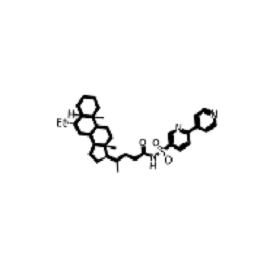 CC[C@H]1CC2C3CC[C@H]([C@H](C)CCC(=O)NS(=O)(=O)c4ccc(-c5ccncc5)nc4)[C@@]3(C)CCC2[C@@]2(C)CCCC[C@@H]12